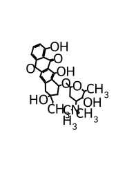 CCC1(O)Cc2cc3c(c(O)c2C(OC2CC(N(C)C)C(O)C(C)O2)C1)C(=O)c1c(O)cccc1C3=O